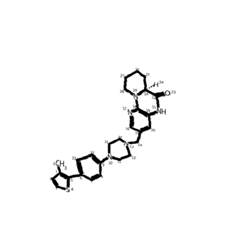 Cc1ccsc1-c1ccc(N2CCN(Cc3cnc4c(c3)NC(=O)[C@@H]3CCCCN43)CC2)cc1